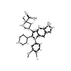 COc1cc(-n2c(C3CCOCC3)c([C@H]3CO[C@](C)(C(=O)O)C3)c3nc4[nH]ncc4cc32)ccc1F